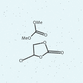 COC(=O)OC.O=C1OCC(Cl)O1